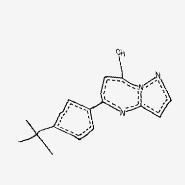 CC(C)(C)c1ccc(-c2cc(O)n3nccc3n2)cc1